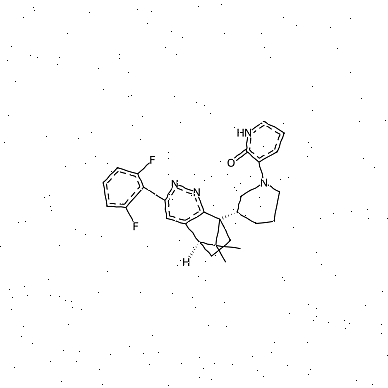 CC1(C)[C@H]2CCC1([C@H]1CCCN(c3ccc[nH]c3=O)C1)c1nnc(-c3c(F)cccc3F)cc12